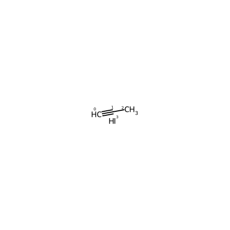 C#CC.I